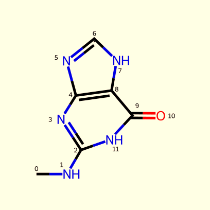 CNc1nc2n[c][nH]c2c(=O)[nH]1